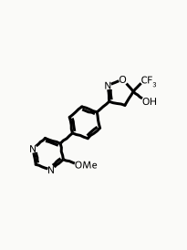 COc1ncncc1-c1ccc(C2=NOC(O)(C(F)(F)F)C2)cc1